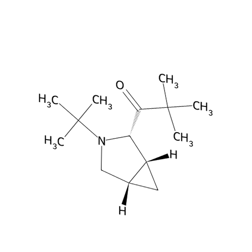 CC(C)(C)C(=O)[C@@H]1[C@@H]2C[C@@H]2CN1C(C)(C)C